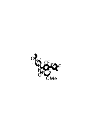 C=CC(=O)N1[C@H](C)CN(c2nc(=O)n3c4c(c(-c5cc(C)c(F)cn5)c(C(F)(F)F)cc24)SC[C@@H](OC)C3)C[C@@H]1C